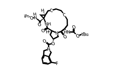 CC(C)ONC(=O)[C@@]12C[C@H]1CCCCCCC[C@H](NC(=O)OC(C)(C)C)C(=O)N1C[C@H](OC(=O)N3Cc4cccc(F)c4C3)C[C@H]1C(=O)N2